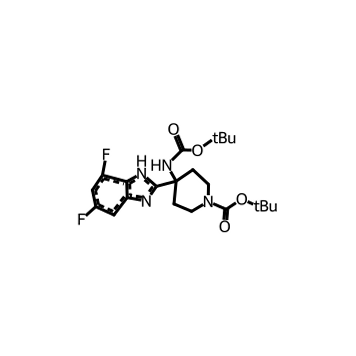 CC(C)(C)OC(=O)NC1(c2nc3cc(F)cc(F)c3[nH]2)CCN(C(=O)OC(C)(C)C)CC1